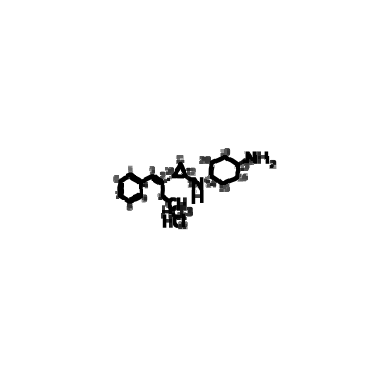 CC/C(=C\c1ccccc1)[C@@H]1C[C@H]1N[C@H]1CC[C@H](N)CC1.Cl.Cl